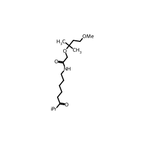 COCCC(C)(C)OCC(=O)NCCCCCC(=O)C(C)C